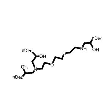 CCCCCCCCCCC(O)CNCCOCCOCCN(CC(O)CCCCCCCCCC)CC(O)CCCCCCCCCC